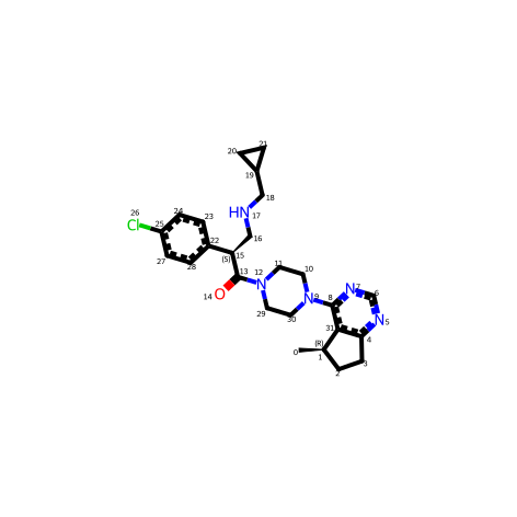 C[C@@H]1CCc2ncnc(N3CCN(C(=O)[C@H](CNCC4CC4)c4ccc(Cl)cc4)CC3)c21